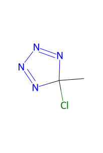 CC1(Cl)N=NN=N1